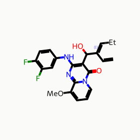 C=C/C(=C\CC)C(O)c1c(Nc2ccc(F)c(F)c2)nc2c(OC)cccn2c1=O